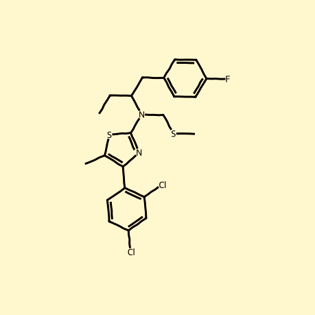 CCC(Cc1ccc(F)cc1)N(CSC)c1nc(-c2ccc(Cl)cc2Cl)c(C)s1